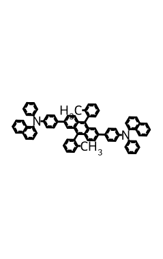 Cc1ccccc1-c1c2ccc(-c3ccc(N(c4ccccc4)c4cccc5ccccc45)cc3)cc2c(-c2ccccc2C)c2ccc(-c3ccc(N(c4ccccc4)c4cccc5ccccc45)cc3)cc12